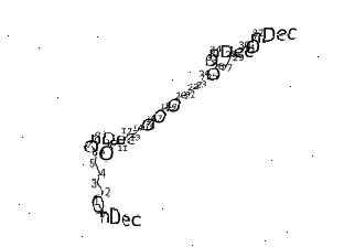 CCCCCCCCCCOCCCCC(OCCCCCCCCCC)OCCCCCOCOCOCCCCCOC(CCCCOCCCCCCCCCC)OCCCCCCCCCC